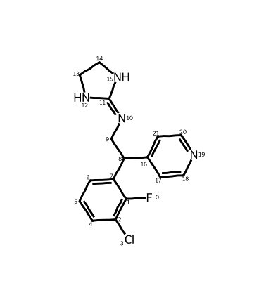 Fc1c(Cl)cccc1C(CN=C1NCCN1)c1ccncc1